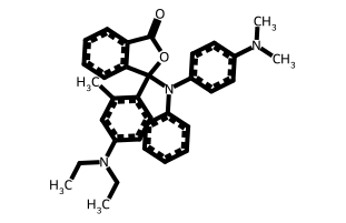 CCN(CC)c1ccc(C2(N(c3ccccc3)c3ccc(N(C)C)cc3)OC(=O)c3ccccc32)c(C)c1